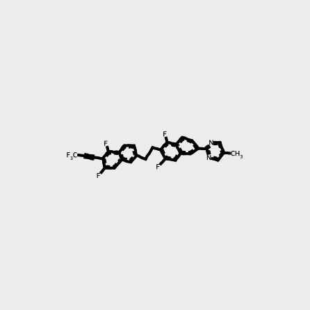 Cc1cnc(-c2ccc3c(F)c(CCc4ccc5c(F)c(C#CC(F)(F)F)c(F)cc5c4)c(F)cc3c2)nc1